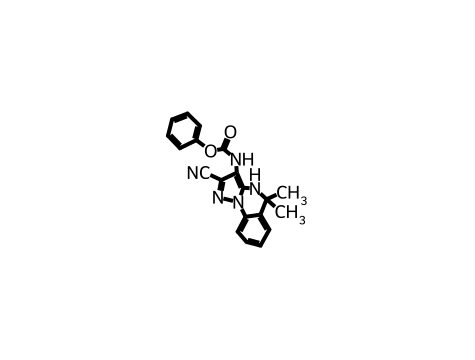 CC1(C)Nc2c(NC(=O)Oc3ccccc3)c(C#N)nn2-c2ccccc21